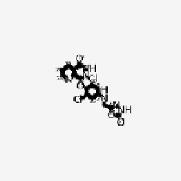 O=c1[nH]nc(CNc2cc(Cl)c(Oc3n[nH]c(=O)c4cccnc34)c(Cl)c2)o1